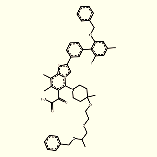 Cc1cc(F)c(-c2cccc(-c3cn4c(N5CCC(C)(OCCOCC(C)OCc6ccccc6)CC5)c(C(=O)C(=O)O)c(C)c(C)c4n3)c2)c(OCc2ccccc2)c1